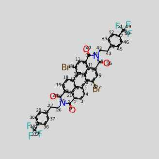 O=C1c2ccc3c4c(Br)cc5c6c(cc(Br)c(c7ccc(c2c37)C(=O)N1CCc1ccc(C(F)(F)F)cc1)c64)C(=O)N(CCc1ccc(C(F)(F)F)cc1)C5=O